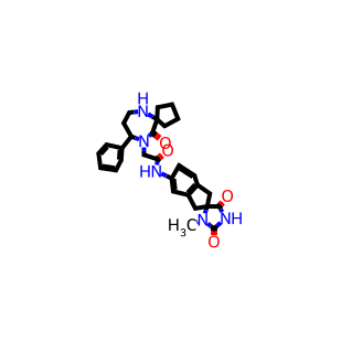 CN1C(=O)NC(=O)C12Cc1ccc(NC(=O)CN3C(=O)C4(CCCC4)NCCC3c3ccccc3)cc1C2